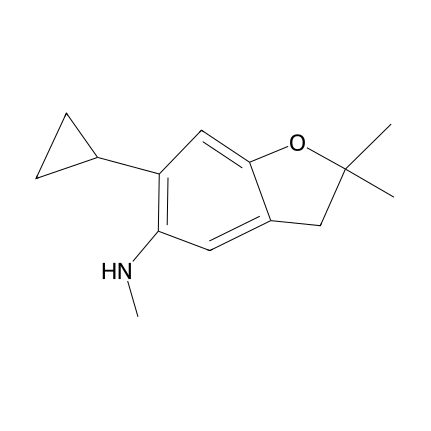 CNc1cc2c(cc1C1CC1)OC(C)(C)C2